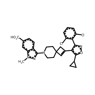 Cn1nc(N2CCC3(C=C(c4c(-c5c(Cl)cccc5Cl)noc4C4CC4)C3)CC2)c2ccc(C(=O)O)cc21